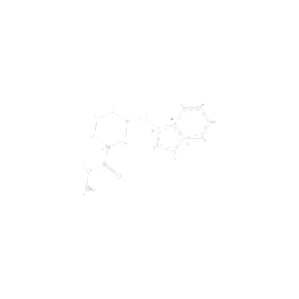 CC(C)(C)OC(=O)N1CCC[C@H](Cc2coc3ccccc23)C1